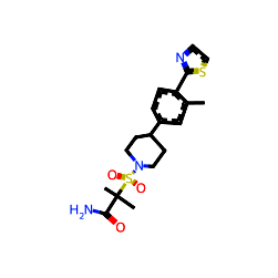 Cc1cc(C2CCN(S(=O)(=O)C(C)(C)C(N)=O)CC2)ccc1-c1nccs1